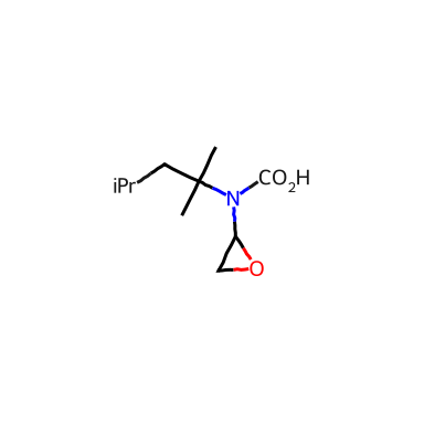 CC(C)CC(C)(C)N(C(=O)O)C1CO1